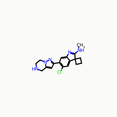 CNC1=Nc2cc(-c3cc4n(n3)CCNC4)c(Cl)cc2C12CCC2